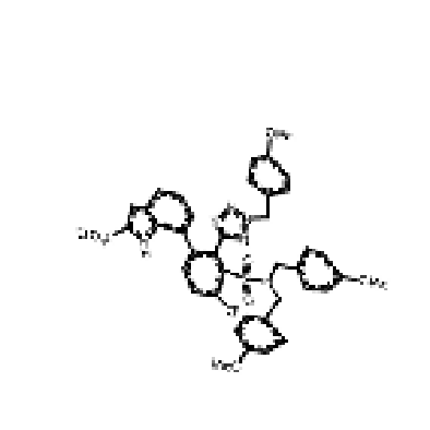 CCOC(=O)c1cc2cccc(-c3ccc(C(F)(F)F)c(S(=O)(=O)N(Cc4ccc(OC)cc4)Cc4ccc(OC)cc4)c3-c3nnn(Cc4ccc(OC)cc4)n3)c2[nH]1